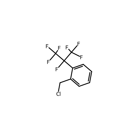 FC(F)(F)C(F)(c1ccccc1CCl)C(F)(F)F